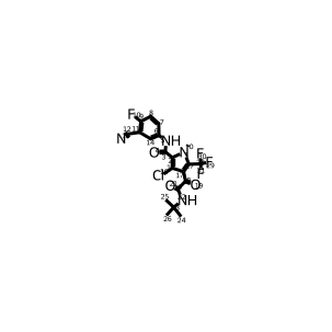 Cn1c(C(=O)Nc2ccc(F)c(C#N)c2)c(Cl)c(C(=O)C(=O)NC(C)(C)C)c1C(F)(F)F